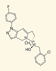 C[C@]12Cc3cnn(-c4ccc(F)cc4)c3C=C1CC[C@@H]2[C@H](O)Cc1ccccc1Cl